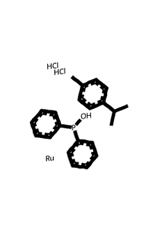 Cc1ccc(C(C)C)cc1.Cl.Cl.OP(c1ccccc1)c1ccccc1.[Ru]